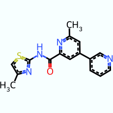 Cc1cc(-c2cccnc2)cc(C(=O)Nc2nc(C)cs2)n1